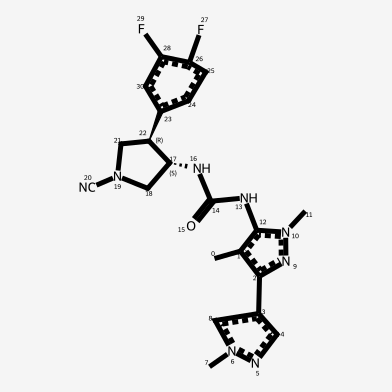 Cc1c(-c2cnn(C)c2)nn(C)c1NC(=O)N[C@@H]1CN(C#N)C[C@H]1c1ccc(F)c(F)c1